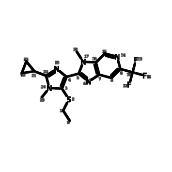 CCSc1c(-c2nc3cc(C(F)(F)F)ncc3n2C)nc(C2CC2)n1C